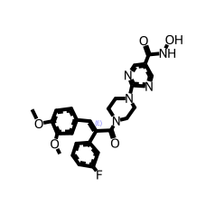 COc1ccc(/C=C(/C(=O)N2CCN(c3ncc(C(=O)NO)cn3)CC2)c2cccc(F)c2)cc1OC